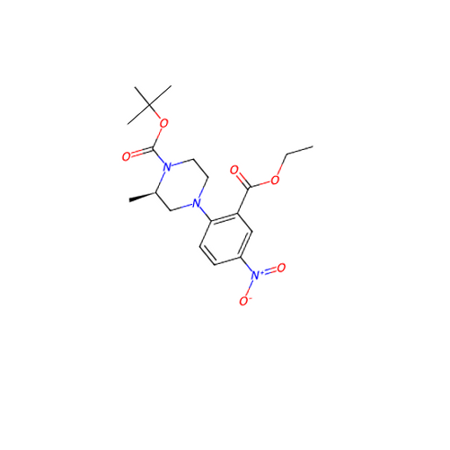 CCOC(=O)c1cc([N+](=O)[O-])ccc1N1CCN(C(=O)OC(C)(C)C)[C@H](C)C1